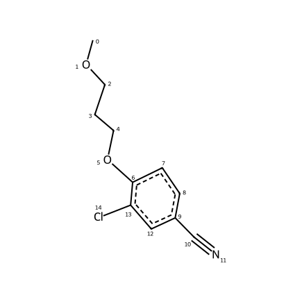 COCCCOc1ccc(C#N)cc1Cl